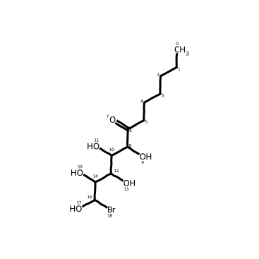 CCCCCCC(=O)C(O)C(O)C(O)C(O)C(O)Br